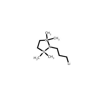 [Li][CH2]CCN1[Si](C)(C)CC[Si]1(C)C